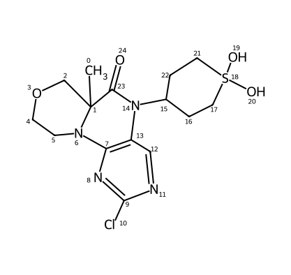 CC12COCCN1c1nc(Cl)ncc1N(C1CCS(O)(O)CC1)C2=O